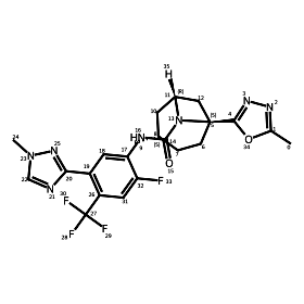 Cc1nnc([C@]23CC[C@H](C)C[C@H](C2)N3C(=O)Nc2cc(-c3ncn(C)n3)c(C(F)(F)F)cc2F)o1